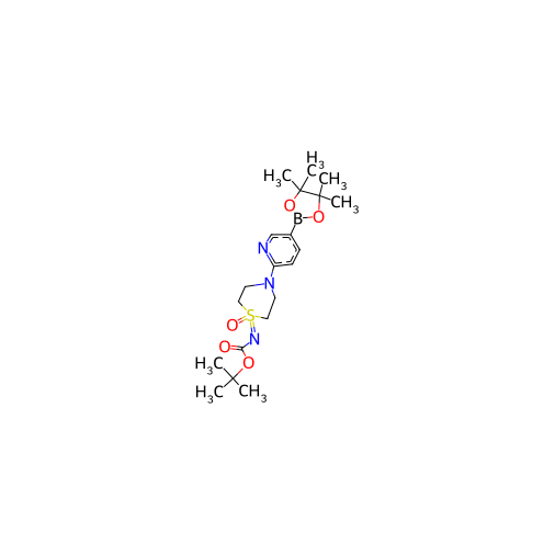 CC(C)(C)OC(=O)N=S1(=O)CCN(c2ccc(B3OC(C)(C)C(C)(C)O3)cn2)CC1